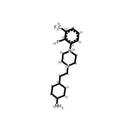 NC1CCC(CCN2CCN(c3cccc(C(F)(F)F)c3F)CC2)CC1